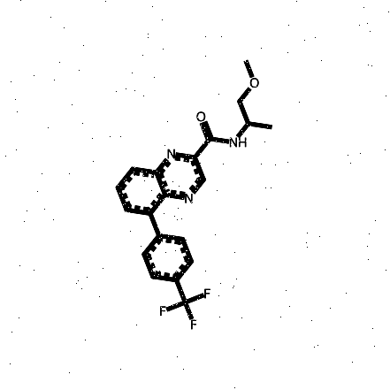 COCC(C)NC(=O)c1cnc2c(-c3ccc(C(F)(F)F)cc3)cccc2n1